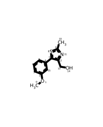 COc1cccc(-c2sc(C)nc2CO)c1